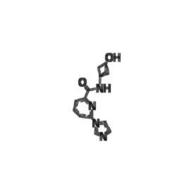 O=C(NC12CC(O)(C1)C2)c1cccc(-n2ccnc2)n1